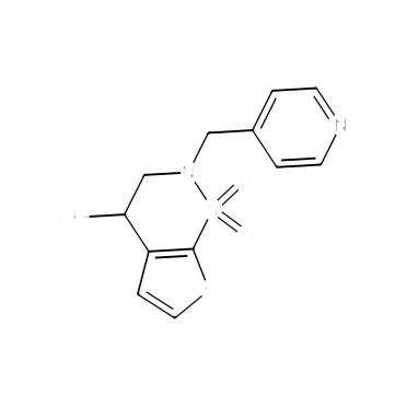 O=S1(=O)c2sccc2C(O)CN1Cc1ccncc1